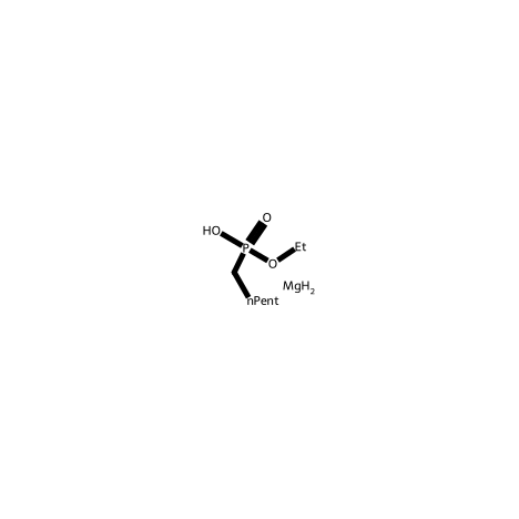 CCCCCCP(=O)(O)OCC.[MgH2]